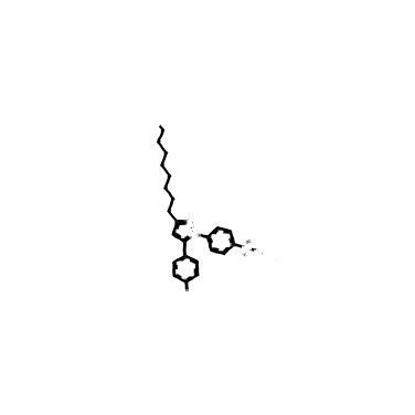 C[CH]CCCCCCCc1cc(-c2ccc(F)cc2)n(-c2ccc(S(N)(=O)=O)cc2)n1